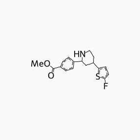 COC(=O)c1ccc(C2CC(c3ccc(F)s3)CCN2)cc1